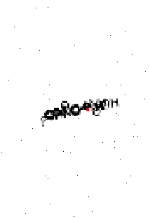 CC(C)(O)C(=O)NC12CC(c3ccc(NC(=O)N4Cc5ccc(F)cc5C4)cc3)(C1)C2